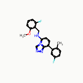 COc1cccc(F)c1CNc1ccc(-c2cc(F)ccc2C)c2nncn12